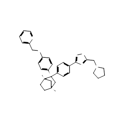 c1ccc(COc2ccc([C@@]3(c4ccc(-c5noc(CN6CCCC6)n5)cc4)C[C@@H]4CC[C@H]3C4)cc2)nc1